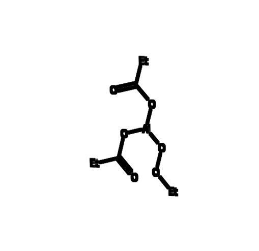 CCO[O][Al]([O]C(=O)CC)[O]C(=O)CC